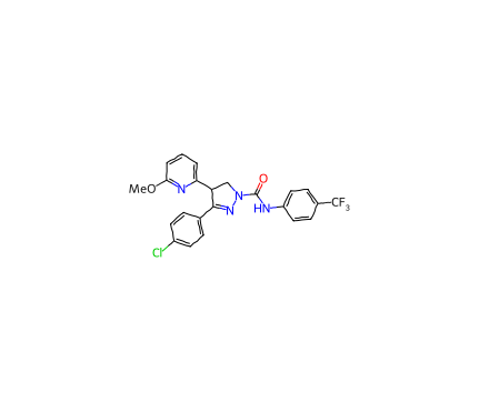 COc1cccc(C2CN(C(=O)Nc3ccc(C(F)(F)F)cc3)N=C2c2ccc(Cl)cc2)n1